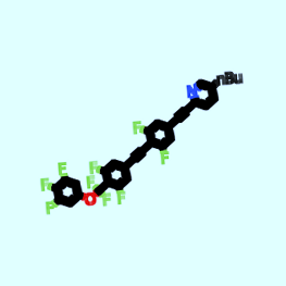 CCCCc1ccc(C#Cc2cc(F)c(C#Cc3cc(F)c(C(F)(F)Oc4cc(F)c(F)c(F)c4)c(F)c3)c(F)c2)nc1